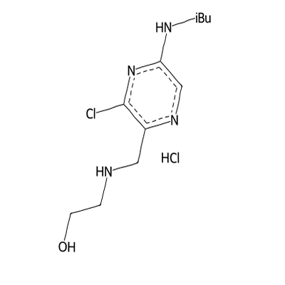 CCC(C)Nc1cnc(CNCCO)c(Cl)n1.Cl